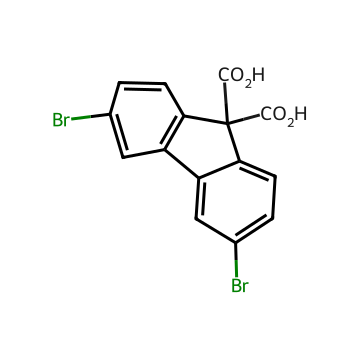 O=C(O)C1(C(=O)O)c2ccc(Br)cc2-c2cc(Br)ccc21